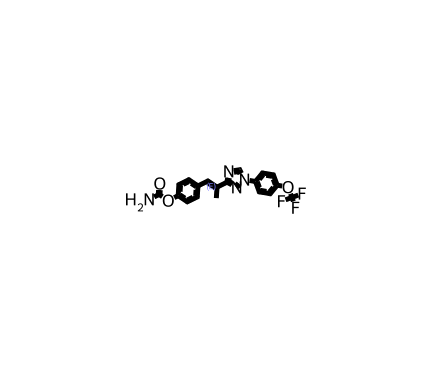 C/C(=C\c1ccc(OC(N)=O)cc1)c1ncn(-c2ccc(OC(F)(F)F)cc2)n1